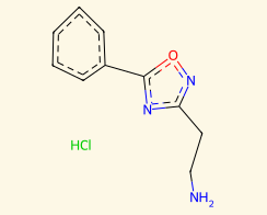 Cl.NCCc1noc(-c2ccccc2)n1